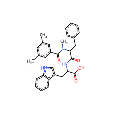 Cc1cc(C)cc(C(=O)N(C)C(Cc2ccccc2)C(=O)NC(Cc2c[nH]c3ccccc23)C(=O)O)c1